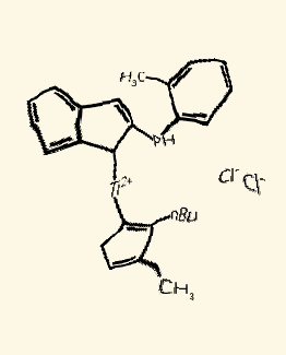 CCCCC1=[C]([Ti+2][CH]2C(Pc3ccccc3C)=Cc3ccccc32)CC=C1C.[Cl-].[Cl-]